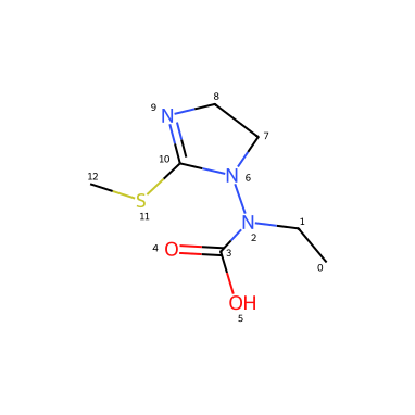 CCN(C(=O)O)N1CCN=C1SC